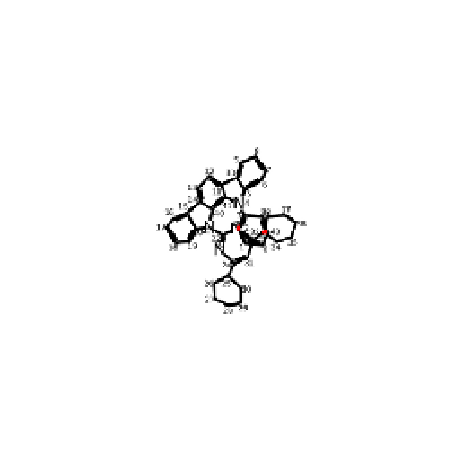 c1ccc(-n2c3ccccc3c3ccc4c5ccccc5n(-c5nc(C6CCCCC6)cc(C6CCCCC6)n5)c4c32)cc1